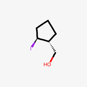 OC[C@H]1CCC[C@@H]1I